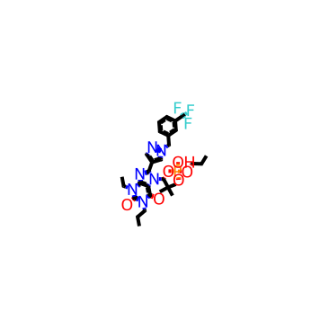 CCCOP(=O)(O)OC(n1c(-c2cnn(Cc3cccc(C(F)(F)F)c3)c2)nc2c1c(=O)n(CCC)c(=O)n2CC)C(C)(C)C